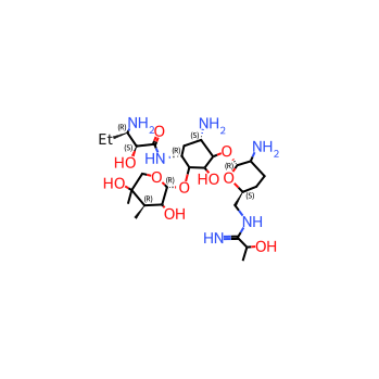 CC[C@@H](N)[C@H](O)C(=O)N[C@@H]1C[C@H](N)C(O[C@H]2O[C@H](CNC(=N)C(C)O)CCC2N)C(O)C1O[C@H]1OCC(C)(O)[C@H](C)C1O